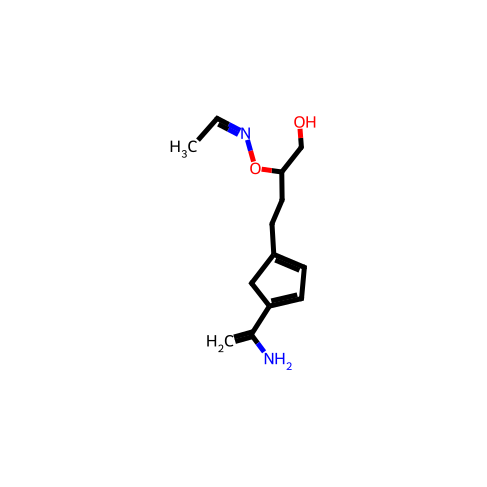 C=C(N)C1=CC=C(CCC(CO)O/N=C\C)C1